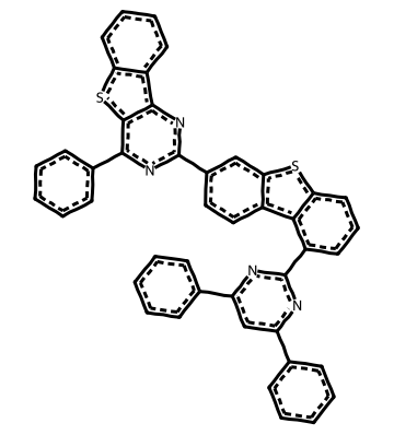 c1ccc(-c2cc(-c3ccccc3)nc(-c3cccc4sc5cc(-c6nc(-c7ccccc7)c7sc8ccccc8c7n6)ccc5c34)n2)cc1